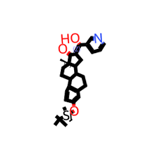 CC(C)(C)[Si](C)(C)Oc1ccc2c(c1)CCC1C2CC[C@]2(C)C(=O)/C(=C(\O)c3cccnc3)CC12